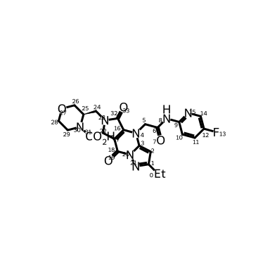 CCc1cc2n(CC(=O)Nc3ccc(F)cn3)c3c(c(=O)n2n1)CN(C[C@@H]1COCCN1C(=O)O)C3=O